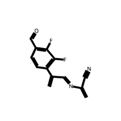 C=C(C#N)/N=C/C(=C)c1ccc(C=O)c(F)c1F